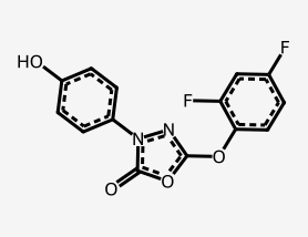 O=c1oc(Oc2ccc(F)cc2F)nn1-c1ccc(O)cc1